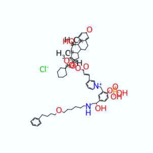 C[C@]12C=CC(=O)C=C1CCC1C2[C@@H](O)C[C@@]2(C)C1C[C@@H]1O[C@@H](C3CCCCC3)O[C@]12C(=O)COC(=O)C=Cc1ccc[n+](Cc2cc(C(O)CNCCCCCCOCCCCc3ccccc3)ccc2OP(=O)(O)O)c1.[Cl-]